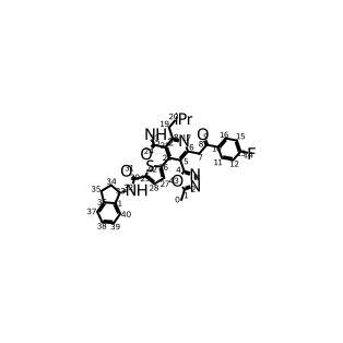 Cc1nnc(-c2c(CC(=O)c3ccc(F)cc3)nc(CC(C)C)c(C(N)=O)c2-c2ccc(C(=O)N[C@@H]3CCc4ccccc43)s2)o1